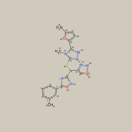 Cc1cccc(-c2nc(C(Sc3nnc(-c4ccc([N+](=O)[O-])o4)n3C)c3conn3)no2)c1